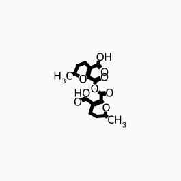 CC1CCC(C(=O)O)=C(C(=O)OC(=O)C2=C(C(=O)O)CCC(C)O2)O1